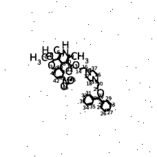 COC(=O)C1=C(C)NC(C)=C(C(=O)OCCN2CCN(CCOC(c3ccccc3)c3ccccc3)CC2)C1c1cccc([N+](=O)[O-])c1